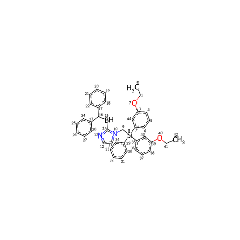 CCOc1cccc([Si](Cn2ccnc2BC(c2ccccc2)c2ccccc2)(c2ccccc2)c2cccc(OCC)c2)c1